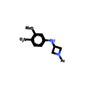 COc1cc(NC2CN(C(C)=O)C2)ccc1[N+](=O)[O-]